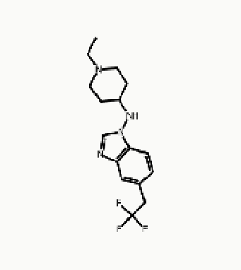 CCN1CCC(Nn2cnc3cc(CC(F)(F)F)ccc32)CC1